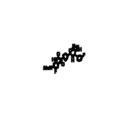 CNc1cc2[nH]c(=O)n(-c3ccc(C(=O)NC(c4cccc(F)c4)c4nnn[nH]4)cc3)c(=O)c2cc1F